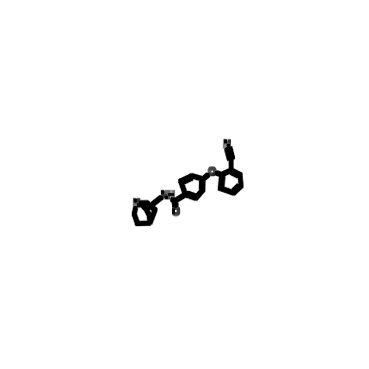 N#Cc1ccccc1Oc1ccc(C(=O)NC2CC3CCN(CC3)C2)cc1